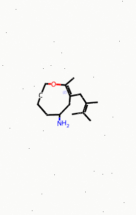 CC(C)=C(C)C/C1=C(\C)OCCCCC(N)C1